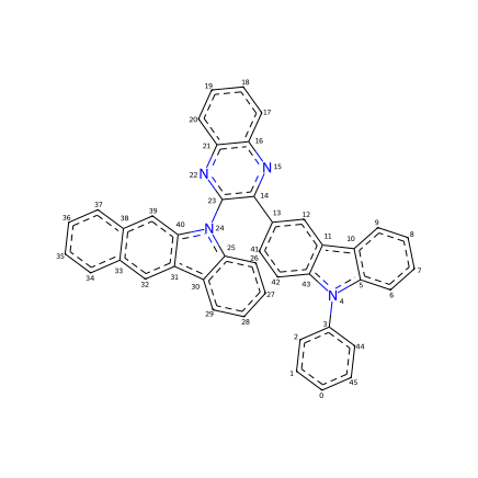 c1ccc(-n2c3ccccc3c3cc(-c4nc5ccccc5nc4-n4c5ccccc5c5cc6ccccc6cc54)ccc32)cc1